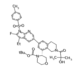 CCc1c(F)n(S(=O)(=O)c2ccc(C)cc2)c2ncc(-c3cc4c(c([C@@H]5COCCN5C(=O)OC(C)(C)C)c3)CN(C(=O)C(C)(C)O)CC4)cc12